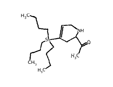 CCC[CH2][Sn]([CH2]CCC)([CH2]CCC)[C]1=CCNC(C(C)=O)C1